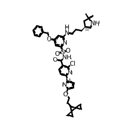 CC1(C)C[C@H](CCCNc2cc(OCc3ccccc3)cc(S(=O)(=O)NC(=O)c3ccc(-n4ccc(OCCC5C6(CC6)C56CC6)n4)nc3Cl)n2)CN1